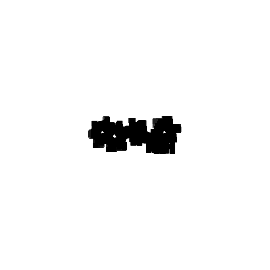 c1ccc2cc(-c3csc(-c4n[nH]c5ccccc45)n3)ccc2c1